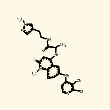 CC(Nc1cc(=O)n(C)c2ccc(Nc3ccnc(Cl)c3C#N)cc12)C(=O)NCCc1cnn(C)c1